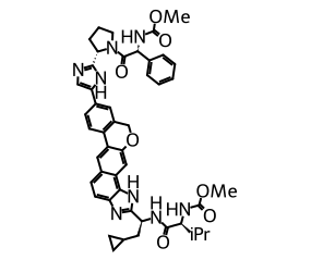 COC(=O)N[C@H](C(=O)N[C@@H](CC1CC1)c1nc2ccc3cc4c(cc3c2[nH]1)OCc1cc(-c2cnc([C@@H]3CCCN3C(=O)[C@H](NC(=O)OC)c3ccccc3)[nH]2)ccc1-4)C(C)C